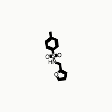 Cc1ccc(S(=O)(=O)NCc2ccco2)cc1